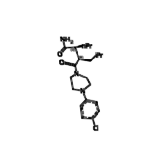 CCC[C@H](C(N)=O)[C@@H](CC(C)C)C(=O)N1CCN(c2ccc(Cl)cc2)CC1